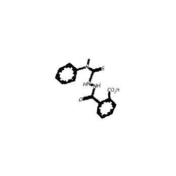 CN(C(=S)NNC(=O)c1ccccc1C(=O)O)c1ccccc1